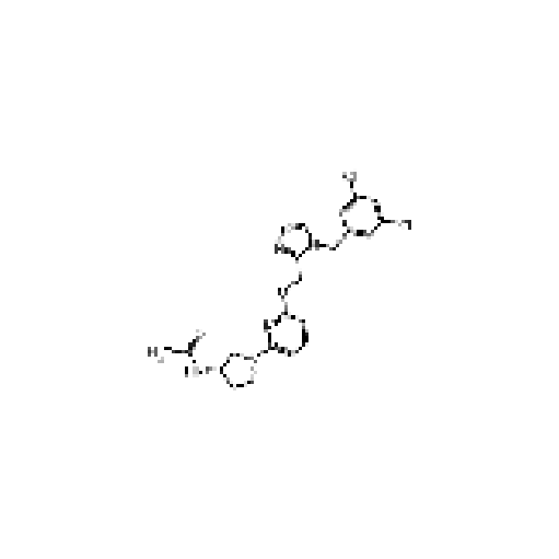 CC(=O)N[C@@H]1CCN(c2cccc(OCc3nccn3Cc3cc(Cl)cc(Cl)c3)n2)C1